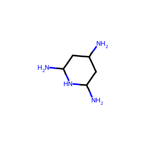 NC1CC(N)NC(N)C1